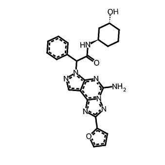 Nc1nc2c(cnn2C(C(=O)N[C@@H]2CCC[C@@H](O)C2)c2ccccc2)c2nc(-c3ccco3)nn12